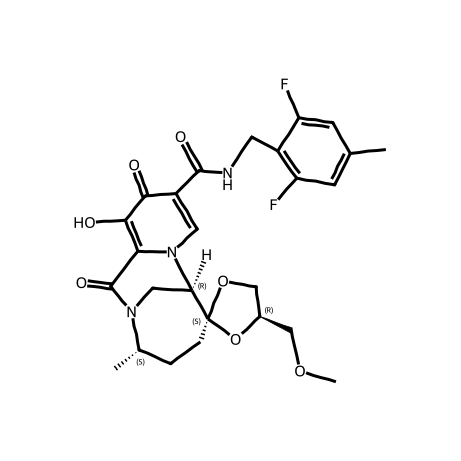 COC[C@@H]1CO[C@@]2(CC[C@H](C)N3C[C@H]2n2cc(C(=O)NCc4c(F)cc(C)cc4F)c(=O)c(O)c2C3=O)O1